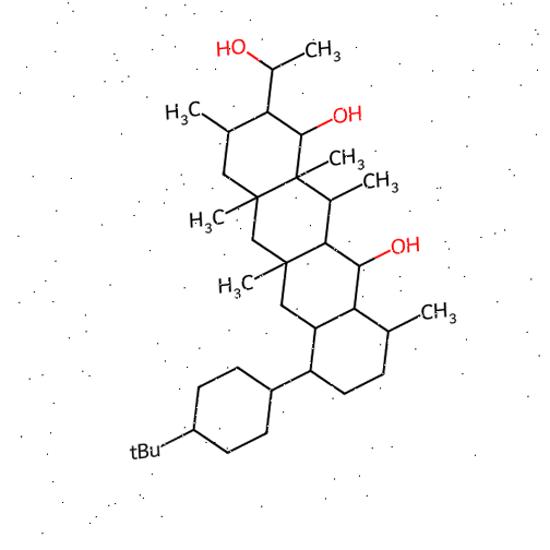 CC(O)C1C(C)CC2(C)CC3(C)CC4C(C5CCC(C(C)(C)C)CC5)CCC(C)C4C(O)C3C(C)C2(C)C1O